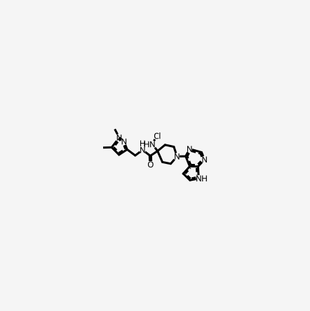 Cc1cc(CNC(=O)C2(NCl)CCN(c3ncnc4[nH]ccc34)CC2)nn1C